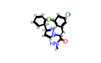 CNC(=O)[C@H](Cc1cc(Cl)cc(Cl)c1)n1ccc(-c2ccccc2)n1